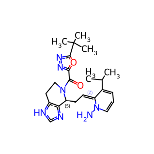 CC(C)C1=CC=CN(N)/C1=C\C[C@H]1c2nc[nH]c2CCN1C(=O)c1nnc(C(C)(C)C)o1